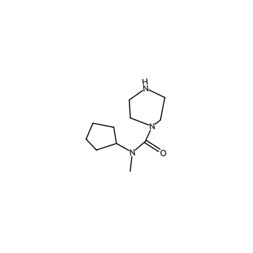 CN(C(=O)N1CCNCC1)C1CCCC1